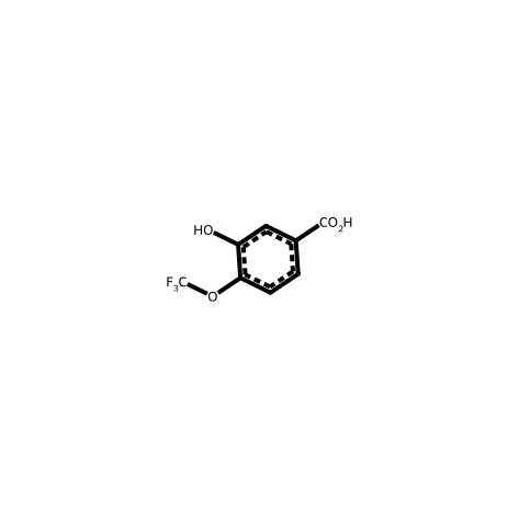 O=C(O)c1ccc(OC(F)(F)F)c(O)c1